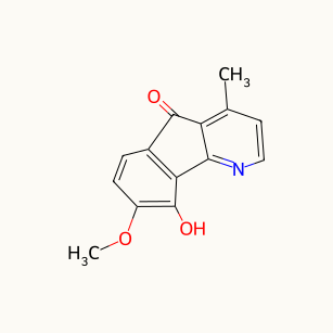 COc1ccc2c(c1O)-c1nccc(C)c1C2=O